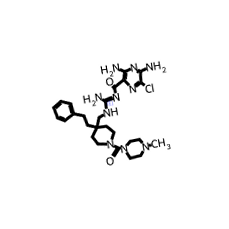 CN1CCN(C(=O)N2CCC(CCc3ccccc3)(CN/C(N)=N/C(=O)c3nc(Cl)c(N)nc3N)CC2)CC1